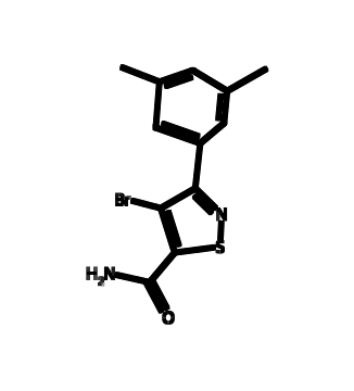 Cc1cc(C)cc(-c2nsc(C(N)=O)c2Br)c1